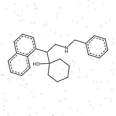 OC1(C(CNCc2ccccc2)c2cccc3ccccc23)CCCCC1